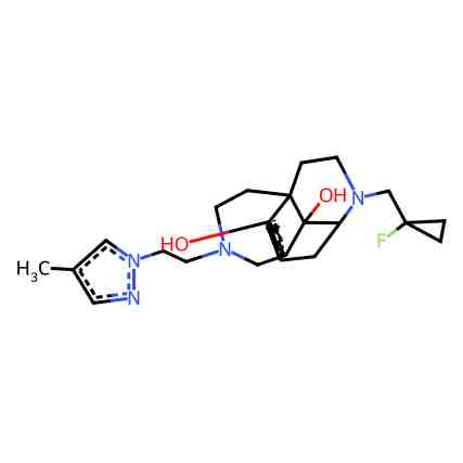 Cc1cnn(CCN2CCC34CCN(CC5(F)CC5)C(Cc5ccc(O)cc53)C4(O)CC2)c1